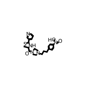 O=CN(O)c1ccc(CCCN2CCN(C(=O)C3CSC(c4cccnc4)N3)CC2)cc1